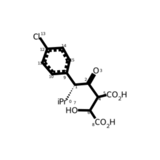 CC(C)[C@@H](C(=O)C(C(=O)O)C(O)C(=O)O)c1ccc(Cl)cc1